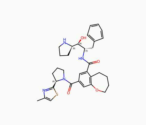 Cc1csc([C@H]2CCCN2C(=O)c2cc3c(c(C(=O)N[C@@H](Cc4ccccc4)[C@H](O)[C@H]4CCCN4)c2)CCCCO3)n1